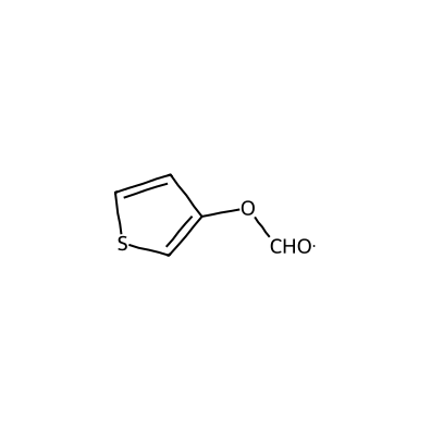 O=[C]Oc1ccsc1